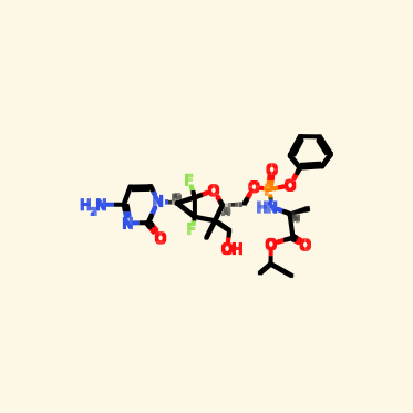 CC(C)OC(=O)[C@H](C)NP(=O)(OC[C@H]1OC2(F)[C@@H](n3ccc(N)nc3=O)C2(F)C1(C)CO)Oc1ccccc1